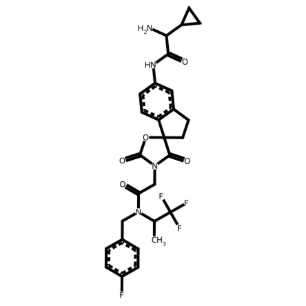 CC(N(Cc1ccc(F)cc1)C(=O)CN1C(=O)OC2(CCc3cc(NC(=O)C(N)C4CC4)ccc32)C1=O)C(F)(F)F